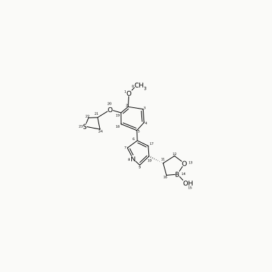 COc1ccc(-c2cncc([C@@H]3COB(O)C3)c2)cc1OC1CSC1